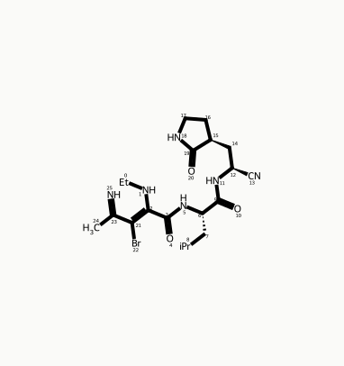 CCN/C(C(=O)N[C@@H](CC(C)C)C(=O)N[C@H](C#N)C[C@@H]1CCNC1=O)=C(/Br)C(C)=N